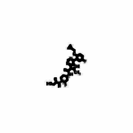 Cc1[nH]c2c(-c3cc(F)ccc3OCC3CC3)ncnc2c1C(=O)N[C@@H]1CC[C@H](NC(=O)CO)[C@H](F)C1